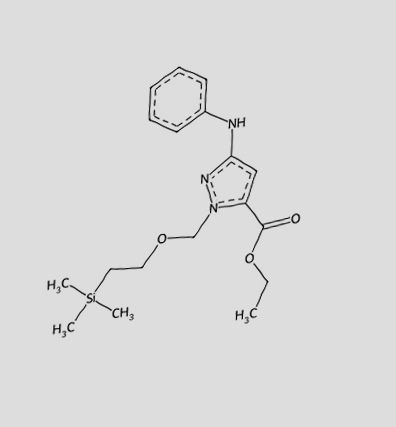 CCOC(=O)c1cc(Nc2ccccc2)nn1COCC[Si](C)(C)C